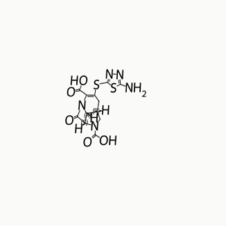 Nc1nnc(SC2=C(C(=O)O)N3C(=O)[C@@H]4[C@H]3[C@H](C2)CN4C(=O)O)s1